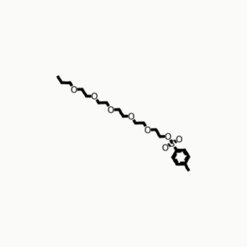 CCCOCCOCCOCCOCCOCCOS(=O)(=O)c1ccc(C)cc1